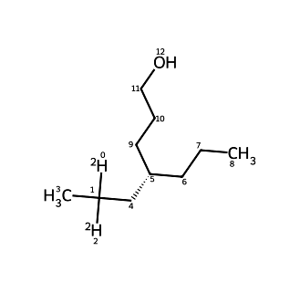 [2H]C([2H])(C)C[C@@H](CCC)CCCO